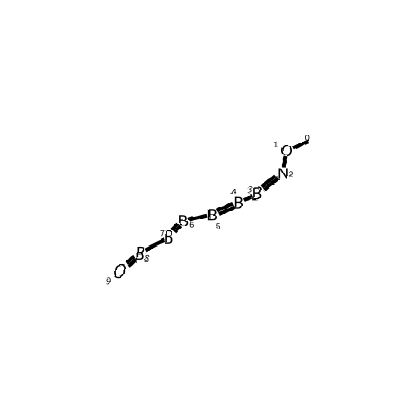 CON=BB=BB=BB=O